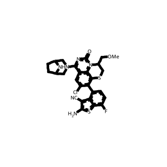 COCC1CSc2c(-c3ccc(F)c4sc(N)c(C#N)c34)c(Cl)cc3c(N4CC5CCC(C4)N5)nc(=O)n1c23